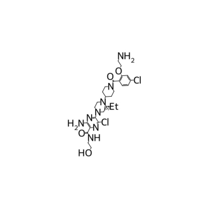 CC[C@H]1CN(c2nc(N)c(C(=O)NCCO)nc2Cl)CCN1C1CCN(C(=O)c2ccc(Cl)cc2OCCN)CC1